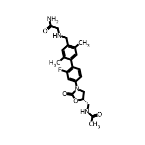 CC(=O)NC[C@H]1CN(c2ccc(-c3cc(C)c(CNCC(N)=O)cc3C)c(F)c2)C(=O)O1